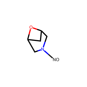 O=NN1CC2CC(C1)O2